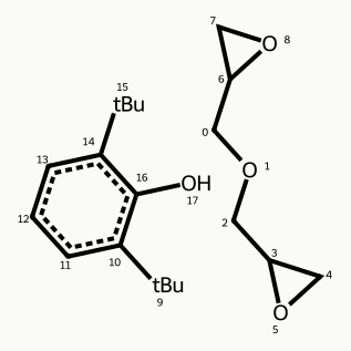 C(OCC1CO1)C1CO1.CC(C)(C)c1cccc(C(C)(C)C)c1O